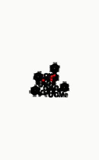 CO[C@H]1O[C@H](COCc2ccccc2)[C@@H](O[C@@H]2O[C@H](COCc3ccccc3)[C@H](O)[C@H](O)[C@H]2OCc2ccccc2)[C@H](OCc2ccccc2)[C@H]1OCc1ccccc1